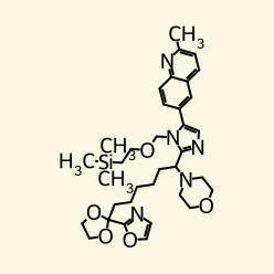 Cc1ccc2cc(-c3cnc(C(CCCCCC4(c5ncco5)OCCO4)N4CCOCC4)n3COCC[Si](C)(C)C)ccc2n1